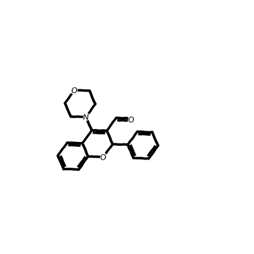 O=CC1=C(N2CCOCC2)c2ccccc2OC1c1ccccc1